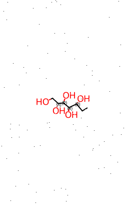 CC[C@@H](O)[C@@H](O)[C@H](O)[C@H](O)CO